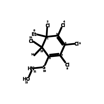 CCC1(Cl)C(Cl)=C(Cl)C(Cl)=C(SNO)C1(C)Cl